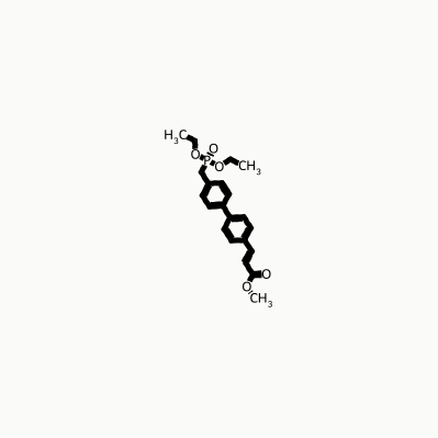 CCOP(=O)(Cc1ccc(-c2ccc(C=CC(=O)OC)cc2)cc1)OCC